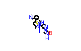 Cc1nc(NC(C)c2ccc(-c3ccccc3CN(C)C)s2)c2cc(N3CCNC(=O)C3)ncc2n1